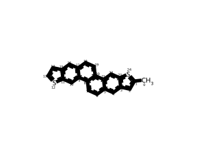 Cc1cc2cc3ccc4c5cc6sccc6cc5ccc4c3cc2s1